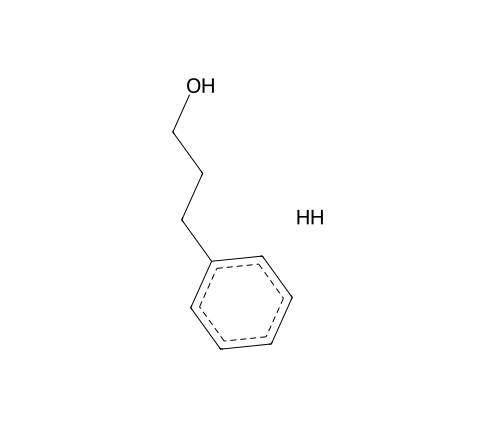 OCCCc1ccccc1.[HH]